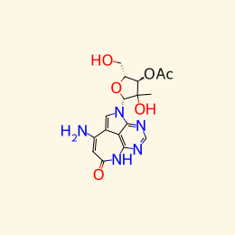 CC(=O)O[C@@H]1[C@@H](CO)O[C@@H](n2cc3c4c(ncnc42)NC(=O)C=C3N)C1(C)O